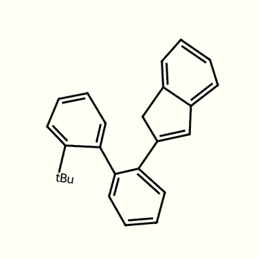 CC(C)(C)c1ccccc1-c1ccccc1C1=Cc2ccccc2C1